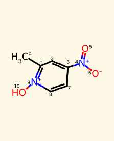 Cc1cc([N+](=O)[O-])cc[n+]1O